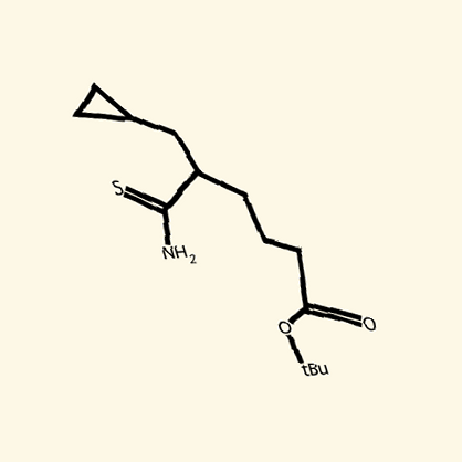 CC(C)(C)OC(=O)CCCC(CC1CC1)C(N)=S